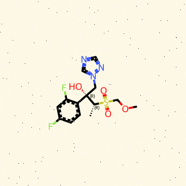 COCS(=O)(=O)[C@H](C)[C@](O)(Cn1cncn1)c1ccc(F)cc1F